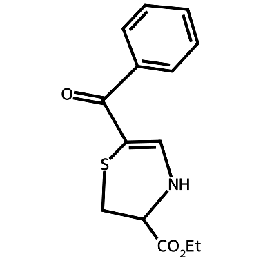 CCOC(=O)C1CSC(C(=O)c2ccccc2)=CN1